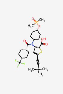 CC(C)(C)C#Cc1cc(N(C(=O)[C@H]2CC[C@H](C(F)(F)F)CC2)[C@H]2CC[C@H](OP(C)(C)=O)CC2)c(C(=O)O)s1